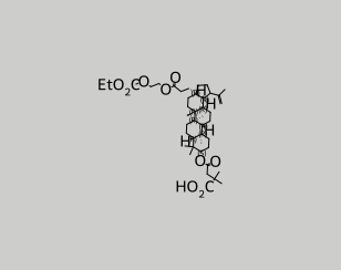 C=C(C)C1CC[C@]2(CCC(=O)OCCOC(=O)OCC)CC[C@]3(C)[C@H](CC[C@@H]4[C@@]5(C)CC[C@H](OC(=O)CC(C)(C)C(=O)O)C(C)(C)[C@@H]5CC[C@]43C)[C@@H]12